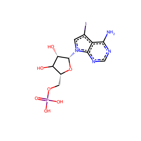 Nc1ncnc2c1c(I)cn2[C@@H]1O[C@H](COP(=O)(O)O)C(O)[C@@H]1O